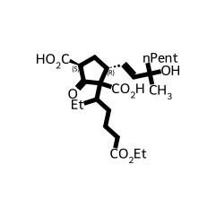 CCCCCC(C)(O)C=C[C@H]1C[C@H](C(=O)O)C(=O)C1(C(=O)O)C(CC)CCCC(=O)OCC